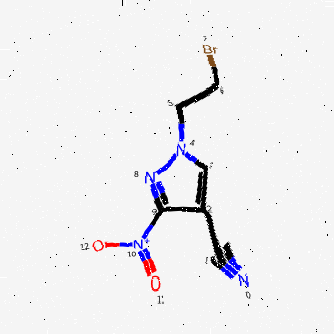 N#Cc1cn(CCBr)nc1[N+](=O)[O-]